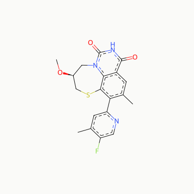 CO[C@@H]1CSc2c(-c3cc(C)c(F)cn3)c(C)cc3c(=O)[nH]c(=O)n(c23)C1